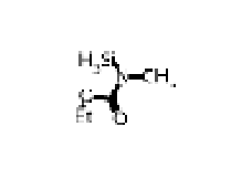 CCOC(=O)N(C)[SiH3]